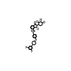 O=C1CCC(N2C(=O)c3cccc(NCc4ccc(CN5CCC(c6cc(F)cc(F)c6)CC5)cc4)c3C2=O)C(=O)N1